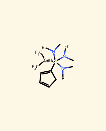 CC[N](C)[Zr]([C]1=CC=CC1)([N](C)CC)([N](C)CC)[GeH]([C](F)(F)F)[C](F)(F)F